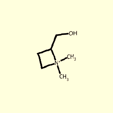 C[N+]1(C)CCC1CO